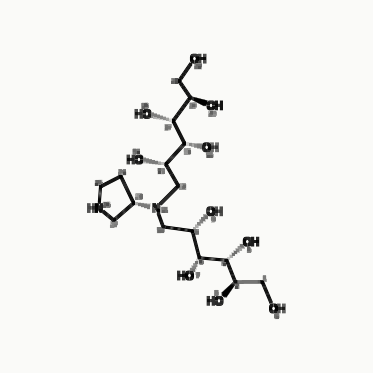 OC[C@@H](O)[C@@H](O)[C@H](O)[C@@H](O)CN(C[C@H](O)[C@@H](O)[C@H](O)[C@H](O)CO)[C@H]1CCNC1